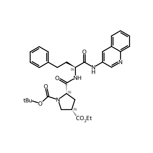 CCOC(=O)[C@H]1C[C@@H](C(=O)N[C@@H](CCc2ccccc2)C(=O)Nc2cnc3ccccc3c2)N(C(=O)OC(C)(C)C)C1